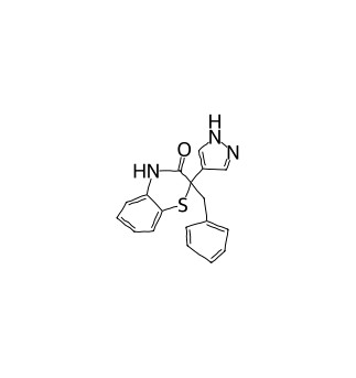 O=C1Nc2ccccc2SC1(Cc1ccccc1)c1cn[nH]c1